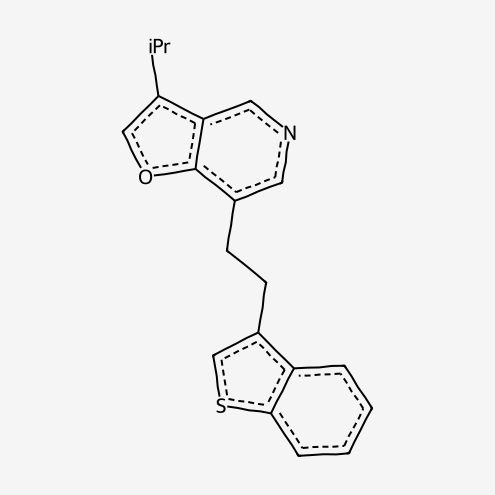 CC(C)c1coc2c(CCc3csc4ccccc34)cncc12